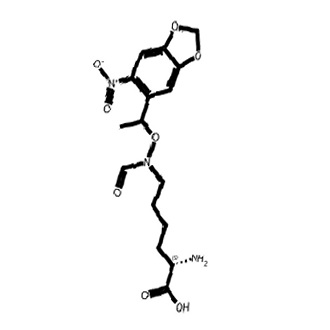 CC(ON(C=O)CCCC[C@H](N)C(=O)O)c1cc2c(cc1[N+](=O)[O-])OCO2